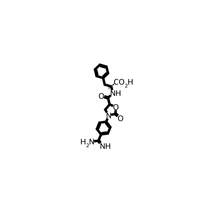 N=C(N)c1ccc(N2CC(C(=O)N[C@H](Cc3ccccc3)C(=O)O)OC2=O)cc1